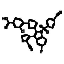 N#Cc1ccc(S(=O)(=O)n2c(-c3cccc(-c4ccc(C(=O)O)cc4Cl)c3)c(-c3ccsc3C#N)c3cc(F)ccc32)cc1